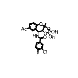 CC(=O)c1ccc2c(c1)[C@@H](NC(=O)c1ccc(F)c(Cl)c1)[C@H](OP(=O)(O)O)C(C)(C)O2